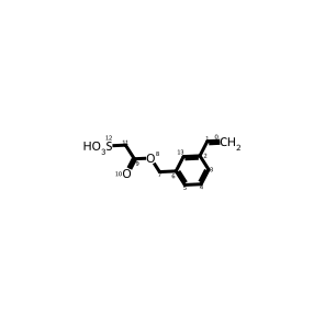 C=Cc1cccc(COC(=O)CS(=O)(=O)O)c1